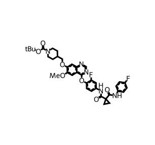 COc1cc2c(Oc3ccc(NC(=O)C4(C(=O)Nc5ccc(F)cc5)CC4)cc3F)ncnc2cc1OCC1CCN(C(=O)OC(C)(C)C)CC1